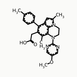 COc1cnc(N2CCn3c(C)cc4c(-c5ccc(C)cc5)c(CC(=O)O)c(C)c2c43)nc1